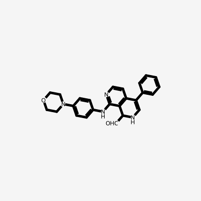 O=CC1NC=C(c2ccccc2)c2ccnc(Nc3ccc(N4CCOCC4)cc3)c21